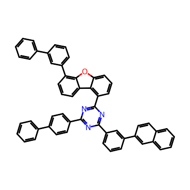 c1ccc(-c2ccc(-c3nc(-c4cccc(-c5ccc6ccccc6c5)c4)nc(-c4cccc5oc6c(-c7cccc(-c8ccccc8)c7)cccc6c45)n3)cc2)cc1